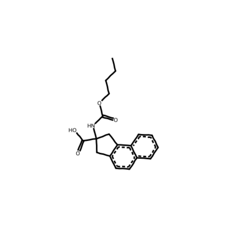 CCCCOC(=O)NC1(C(=O)O)Cc2ccc3ccccc3c2C1